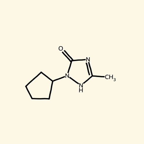 Cc1nc(=O)n(C2CCCC2)[nH]1